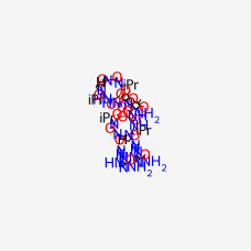 CN(C)/N=N/c1[nH]cnc1C(N)=O.CN(C)/N=N/c1[nH]cnc1C(N)=O.Cc1c2oc3c(C)ccc(C(=O)N[C@@H]4C(=O)N[C@H](C(C)C)C(=O)N5CCC[C@H]5C(=O)N(C)CC(=O)N(C)[C@@H](C(C)C)C(=O)O[C@@H]4C)c3nc-2c(C(=O)N[C@@H]2C(=O)N[C@H](C(C)C)C(=O)N3CCC[C@H]3C(=O)N(C)CC(=O)N(C)[C@@H](C(C)C)C(=O)O[C@@H]2C)c(N)c1=O